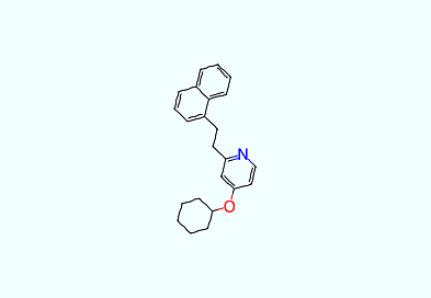 c1ccc2c(CCc3cc(OC4CCCCC4)ccn3)cccc2c1